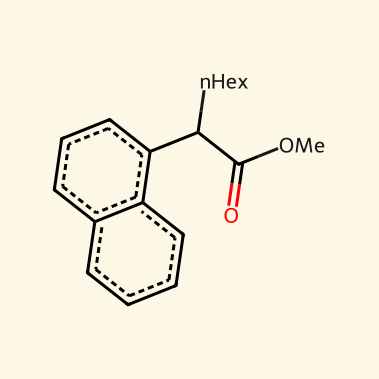 CCCCCCC(C(=O)OC)c1cccc2ccccc12